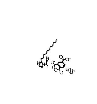 CCCCCCCCCCCc1nccn1C(C)C#N.O=C([O-])c1ccc(C(=O)[O-])c(C(=O)[O-])c1.[Li+].[Li+].[Li+]